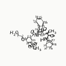 C=CCOc1cc(C(=O)N[C@@H](Cc2ccccc2)[C@H](O)C[C@@H](C)C(=O)NC2CC3CCC2C3)cc(S(C)(=O)=O)c1